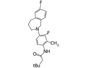 Cc1c(NC(=O)CC(C)(C)C)ccc(N2CCCc3cc(F)ccc3C2)c1F